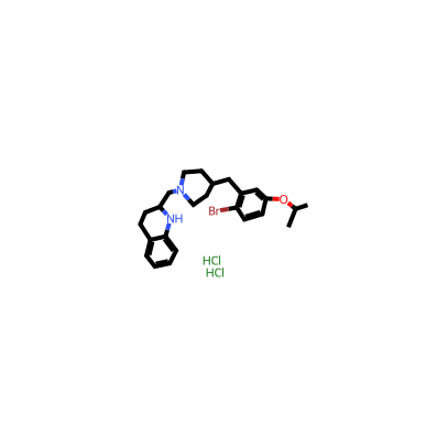 CC(C)Oc1ccc(Br)c(CC2CCN(CC3CCc4ccccc4N3)CC2)c1.Cl.Cl